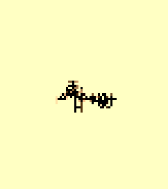 O=C(Nc1ccc(C2CCN(C(=O)[C@H]3CCC[C@@H]3C(=O)O)CC2)cc1)c1cn(-c2ccc(F)cc2)nc1C(F)(F)F